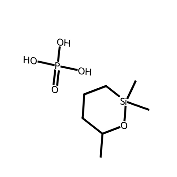 CC1CCC[Si](C)(C)O1.O=P(O)(O)O